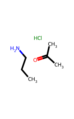 CC(C)=O.CCCN.Cl